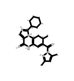 Cc1cc(C)n(C(=O)C2=Cc3[nH]c(=O)c4cnc(C5CCCCC5)n4c3CC2C)n1